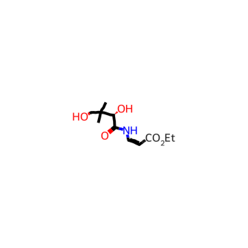 CCOC(=O)/C=C\NC(=O)[C@@H](O)C(C)(C)CO